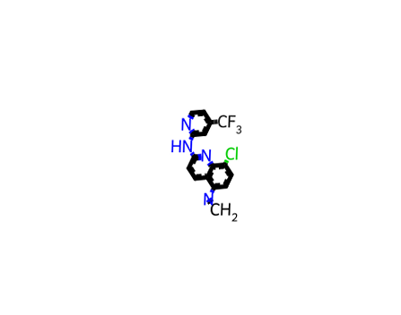 C=Nc1ccc(Cl)c2nc(Nc3cc(C(F)(F)F)ccn3)ccc12